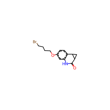 O=C1Nc2cc(OCCCCBr)ccc2C2CC12